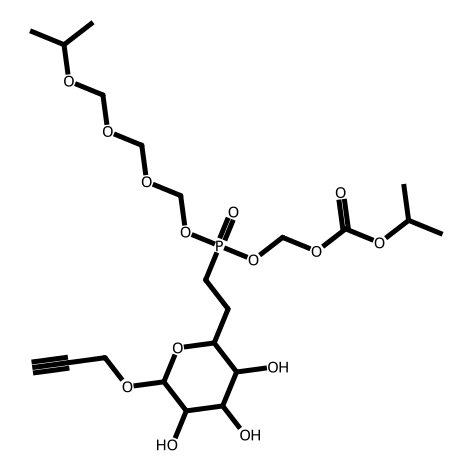 C#CCOC1OC(CCP(=O)(OCOCOCOC(C)C)OCOC(=O)OC(C)C)C(O)C(O)C1O